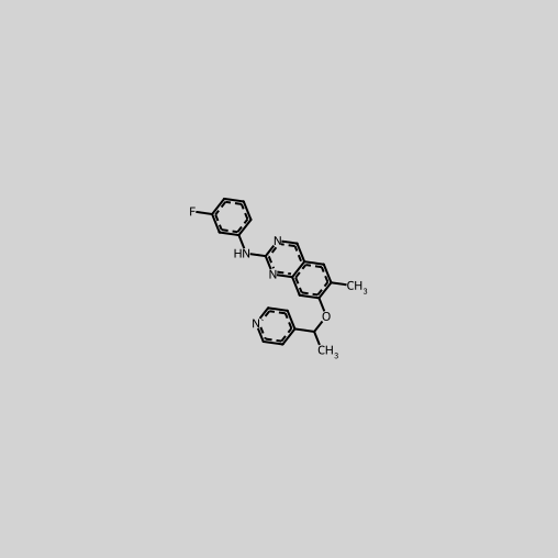 Cc1cc2cnc(Nc3cccc(F)c3)nc2cc1OC(C)c1ccncc1